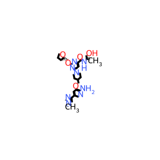 C[C@H](CO)NC(=O)c1cc(N2CCC(COc3cc(-c4cn(C)cn4)cnc3N)CC2)nc(OC[C@@H]2CCCO2)n1